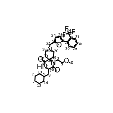 COCCN1C(=O)C(CC2CCCCC2)NC(=O)C12CCN(Cc1ccc(-c3ccccc3C(F)(F)F)o1)CC2